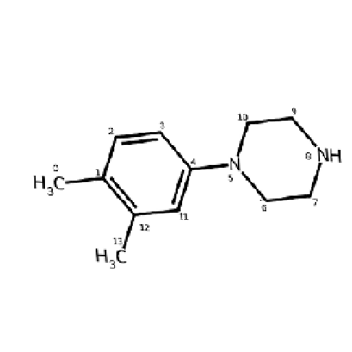 Cc1ccc(N2[CH]CNCC2)cc1C